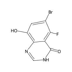 O=c1[nH]cnc2c(O)cc(Br)c(F)c12